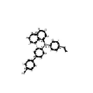 C=Cc1ccc(N(c2ccc(-c3ccc(I)cc3)cc2)c2cccc3ccccc23)cc1